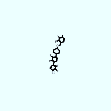 CCc1ccc(-c2ccc(C3CCC(OCc4ccc(C)c(F)c4F)CC3)c(F)c2F)c(F)c1F